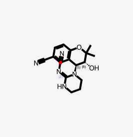 CC1(C)Oc2ccc(C#N)cc2[C@H](N2CCCN/C2=N/C#N)[C@H]1O